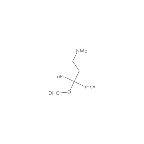 CCCCCCC(CCC)(CCNC)OC=O